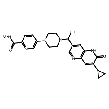 CNC(=O)c1ccc(N2CCN(C(C)c3cnc4cc(C5CC5)c(=O)[nH]c4c3)CC2)cn1